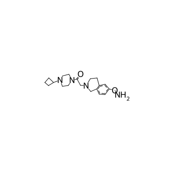 NOc1ccc2c(c1)CCN(CC(=O)N1CCN(C3CCC3)CC1)C2